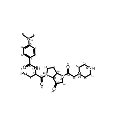 CC(C)CC(NC(=O)c1ccc(N(C)C)cc1)C(=O)N1CCC2C1C(=O)CN2C(=O)CN1CCNCC1